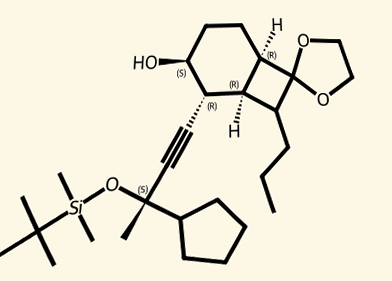 CCCC1[C@H]2[C@H](C#C[C@@](C)(O[Si](C)(C)C(C)(C)C)C3CCCC3)[C@@H](O)CC[C@H]2C12OCCO2